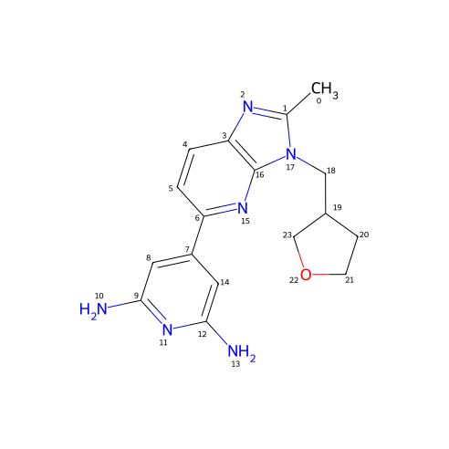 Cc1nc2ccc(-c3cc(N)nc(N)c3)nc2n1CC1CCOC1